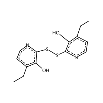 CCc1ccnc(SSc2nccc(CC)c2O)c1O